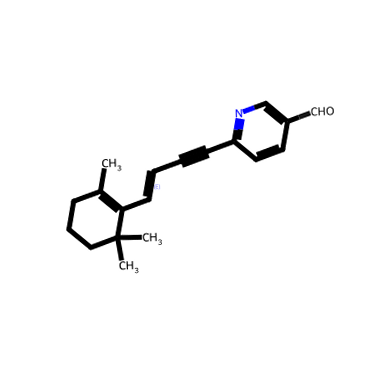 CC1=C(/C=C/C#Cc2ccc(C=O)cn2)C(C)(C)CCC1